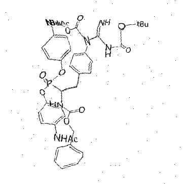 CC(=O)Nc1ccc(OP(=O)(Oc2ccc(NC(C)=O)cc2)C(Cc2ccc(N(C(=N)NC(=O)OC(C)(C)C)C(=O)OC(C)(C)C)cc2)NC(=O)OCc2ccccc2)cc1